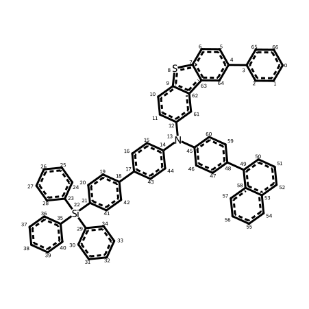 c1ccc(-c2ccc3sc4ccc(N(c5ccc(-c6ccc([Si](c7ccccc7)(c7ccccc7)c7ccccc7)cc6)cc5)c5ccc(-c6cccc7ccccc67)cc5)cc4c3c2)cc1